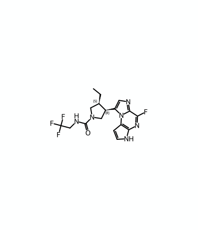 CC[C@@H]1CN(C(=O)NCC(F)(F)F)C[C@@H]1c1cnc2c(F)nc3[nH]ccc3n12